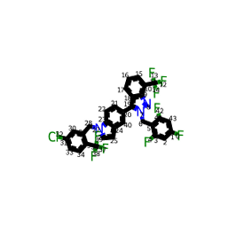 Fc1cc(F)c(Cn2nc3c(C(F)(F)F)cccc3c2-c2ccc3c(ccn3Cc3cc(Cl)ccc3C(F)(F)F)c2)c(F)c1